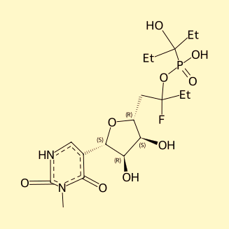 CCC(F)(C[C@H]1O[C@@H](c2c[nH]c(=O)n(C)c2=O)[C@H](O)[C@@H]1O)OP(=O)(O)C(O)(CC)CC